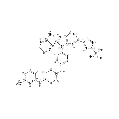 [2H]C([2H])([2H])n1ncc(-c2ccc3nc(-c4cccnc4N)n(-c4ccc(CN5CCC(Nc6ccnc(C#N)n6)CC5)cc4)c3n2)n1